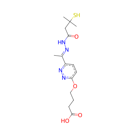 C/C(=N\NC(=O)CC(C)(C)S)c1ccc(OCCCC(=O)O)nn1